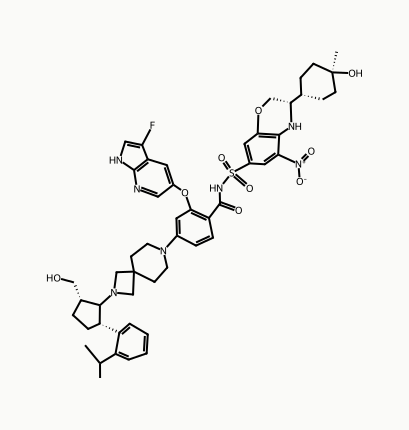 CC(C)c1ccccc1[C@@H]1CC[C@H](CO)C1N1CC2(CCN(c3ccc(C(=O)NS(=O)(=O)c4cc5c(c([N+](=O)[O-])c4)N[C@@H]([C@H]4CC[C@](C)(O)CC4)CO5)c(Oc4cnc5[nH]cc(F)c5c4)c3)CC2)C1